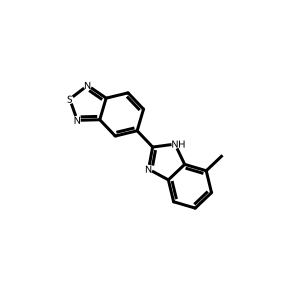 Cc1cccc2nc(-c3ccc4nsnc4c3)[nH]c12